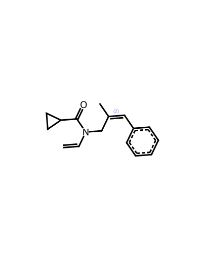 C=CN(C/C(C)=C\c1ccccc1)C(=O)C1CC1